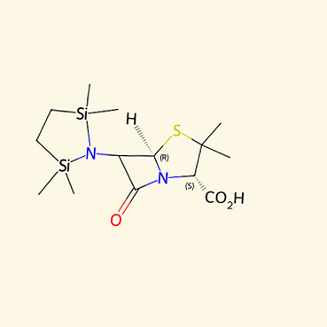 CC1(C)S[C@@H]2C(N3[Si](C)(C)CC[Si]3(C)C)C(=O)N2[C@H]1C(=O)O